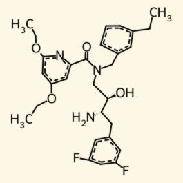 CCOc1cc(OCC)nc(C(=O)N(Cc2cccc(CC)c2)C[C@@H](O)[C@@H](N)Cc2cc(F)cc(F)c2)c1